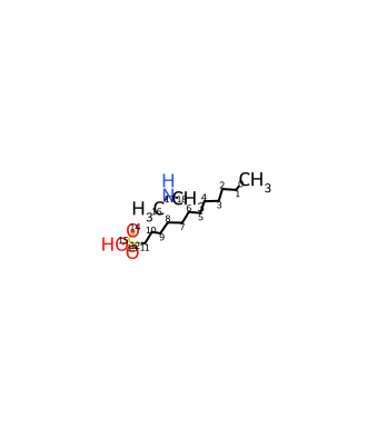 CCCCCCCCCCCCS(=O)(=O)O.CNC